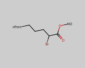 CCCCCCCCC(Br)C(=O)ON=O